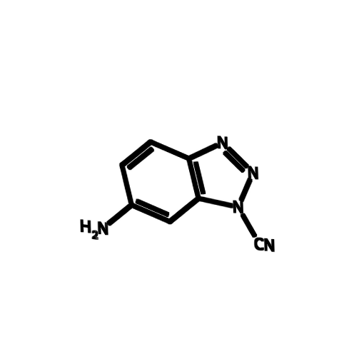 N#Cn1nnc2ccc(N)cc21